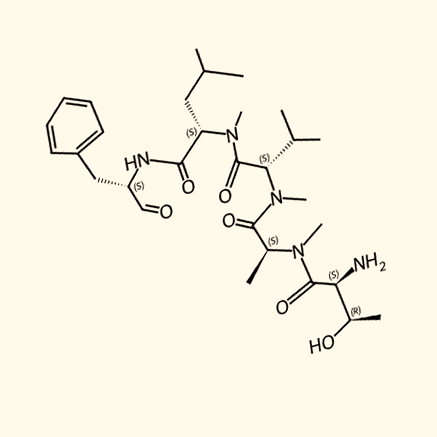 CC(C)C[C@@H](C(=O)N[C@H](C=O)Cc1ccccc1)N(C)C(=O)[C@H](C(C)C)N(C)C(=O)[C@H](C)N(C)C(=O)[C@@H](N)[C@@H](C)O